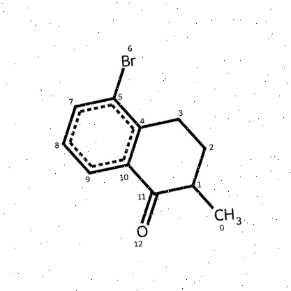 CC1CCc2c(Br)cccc2C1=O